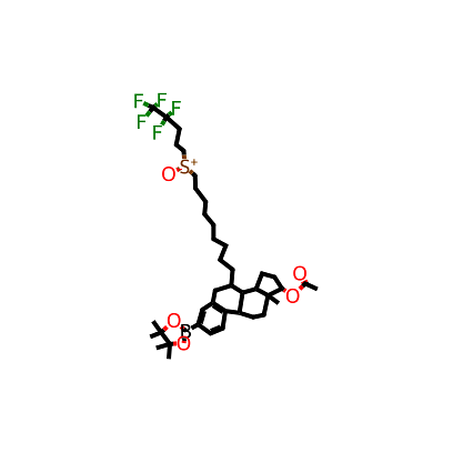 CC(=O)OC1CCC2C3C(CCCCCCCCC[S+]([O-])CCCC(F)(F)C(F)(F)F)Cc4cc(B5OC(C)(C)C(C)(C)O5)ccc4C3CCC12C